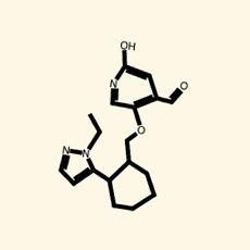 CCn1nccc1C1CCCCC1COc1cnc(O)cc1C=O